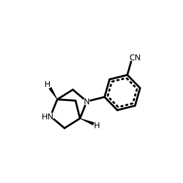 N#Cc1cccc(N2C[C@@H]3C[C@H]2CN3)c1